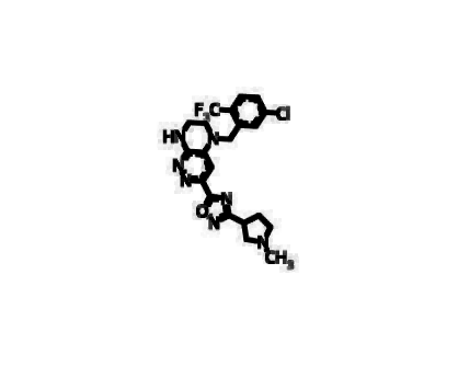 CN1CCC(c2noc(-c3cc4c(nn3)NCCN4Cc3cc(Cl)ccc3C(F)(F)F)n2)C1